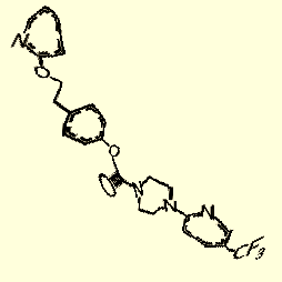 O=C(Oc1ccc(CCOc2ccccn2)cc1)N1CCN(c2ccc(C(F)(F)F)cn2)CC1